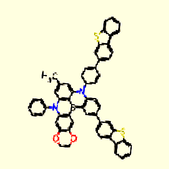 Cc1cc2c3c(c1)N(C1C=CC(c4ccc5c(c4)sc4ccccc45)=CC1)c1ccc(-c4ccc5c(c4)sc4ccccc45)cc1B3c1cc3c(cc1N2c1ccccc1)OCCO3